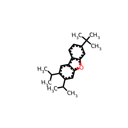 CC(C)c1cc2oc3cc(C(C)(C)C)ccc3c2cc1C(C)C